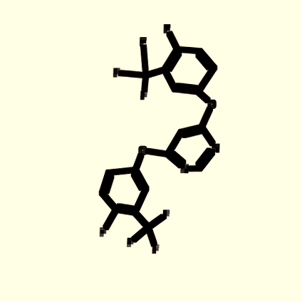 Fc1ccc(Oc2cc(Oc3ccc(F)c(C(F)(F)F)c3)ncn2)cc1C(F)(F)F